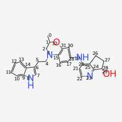 CC1CN(CCc2c[nH]c3ccccc23)c2ccc(Nc3ccnc4c3CCC4O)cc2O1